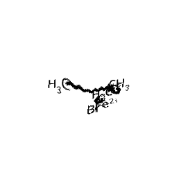 CCCCCCCCCCCC[N+](C)(C)[c-]1cccc1.[Br-].[Fe+2].c1cc[cH-]c1